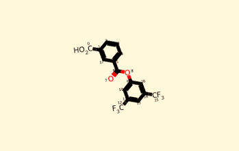 O=C(O)c1cccc(C(=O)Oc2cc(C(F)(F)F)cc(C(F)(F)F)c2)c1